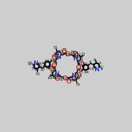 Cc1cc(F)ncc1Cc1ccc(C[C@H]2OC(=O)[C@H](CC(C)C)N(C)C(=O)[C@@H](C)OC(=O)[C@H](CC(C)C)N(C)C(=O)[C@@H](Cc3ccc(Cc4cnc(F)cc4C)cc3)OC(=O)[C@H](CC(C)C)N(C)C(=O)[C@@H](C)OC(=O)[C@H](CC(C)C)N(C)C2=O)cc1